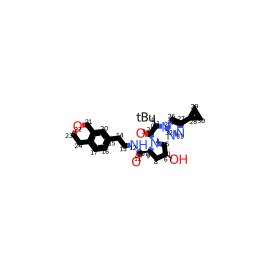 CC(C)(C)[C@@H](C(=O)N1C[C@H](O)C[C@H]1C(=O)NCCc1ccc2c(c1)COCC2)n1cc(C2CC2)nn1